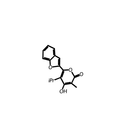 Cc1c(O)c(C(C)C)c(-c2cc3ccccc3o2)oc1=O